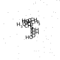 CC(C)(C)c1cc(SC[C@@H](O)C[C@@H](O)CC(=O)O)cc(C(C)(C)C)c1O